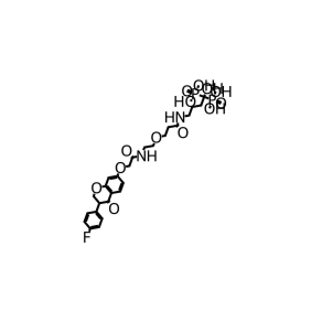 O=C(CCOCCNC(=O)COc1ccc2c(c1)OCC(c1ccc(F)cc1)C2=O)NCCCC(O)(P(=O)(O)O)P(=O)(O)O